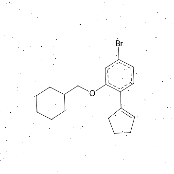 Brc1ccc(C2=[C]CCC2)c(OCC2CCCCC2)c1